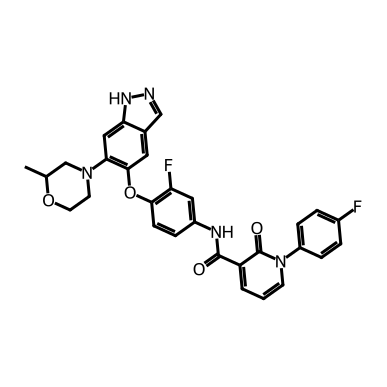 CC1CN(c2cc3[nH]ncc3cc2Oc2ccc(NC(=O)c3cccn(-c4ccc(F)cc4)c3=O)cc2F)CCO1